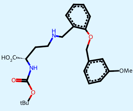 COc1cccc(COc2ccccc2CNCC[C@H](NC(=O)OC(C)(C)C)C(=O)O)c1